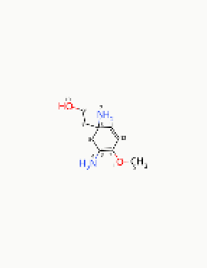 COC1=C(N)CC(N)(CCO)C=C1